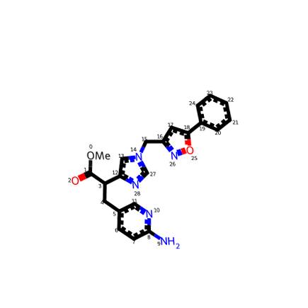 COC(=O)C(Cc1ccc(N)nc1)c1cn(Cc2cc(-c3ccccc3)on2)cn1